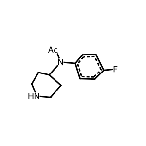 CC(=O)N(c1ccc(F)cc1)C1CCNCC1